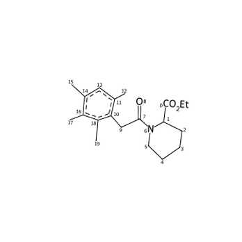 CCOC(=O)C1CCCCN1C(=O)Cc1c(C)cc(C)c(C)c1C